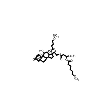 C[C@]12C=CC(=O)C=C1CCC1C3CC[C@](OC(=O)CCCO[N+](=O)[O-])(C(=O)COC(=O)CC(OC(=O)CCCCCO[N+](=O)[O-])C(=O)O)[C@@]3(C)C[C@H](O)[C@@H]12